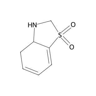 O=S1(=O)CNC2CC=CC=C21